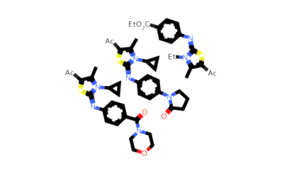 CC(=O)c1sc(=Nc2ccc(C(=O)N3CCOCC3)cc2)n(C2CC2)c1C.CC(=O)c1sc(=Nc2ccc(N3CCCC3=O)cc2)n(C2CC2)c1C.CCOC(=O)c1ccc(N=c2sc(C(C)=O)c(C)n2CC)cc1